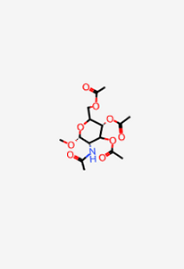 CO[C@@H]1OC(COC(C)=O)[C@H](OC(C)=O)C(OC(C)=O)[C@@H]1NC(C)=O